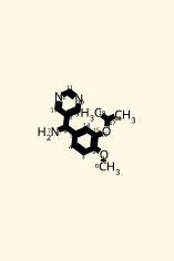 COc1ccc(C(N)c2cncnc2)cc1OC(C)C